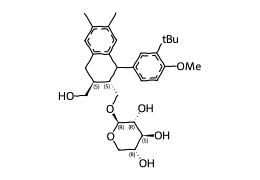 COc1ccc(C2c3cc(C)c(C)cc3C[C@H](CO)[C@H]2CO[C@@H]2OC[C@@H](O)[C@H](O)[C@H]2O)cc1C(C)(C)C